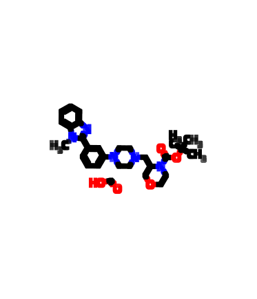 Cn1c(-c2cccc(N3CCN(CC4COCCN4C(=O)OC(C)(C)C)CC3)c2)nc2ccccc21.O=CO